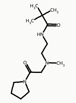 CN(CCNC(=O)C(C)(C)C)CC(=O)N1CCCC1